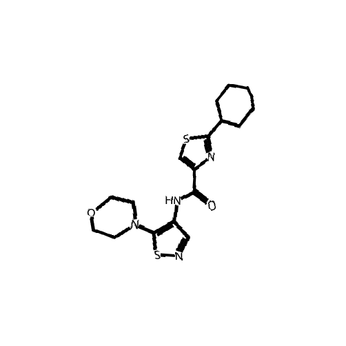 O=C(Nc1cnsc1N1CCOCC1)c1csc(C2CCCCC2)n1